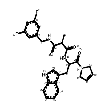 CC(C(=O)NCc1cc(F)cc(F)c1)C(=O)NC(Cc1c[nH]c2ccccc12)C(=O)N1CC=CC1